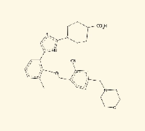 Cc1cccc(-c2csc(N3CCC(C(=O)O)CC3)n2)c1OCc1ccc(CN2CCOCC2)cc1C#N